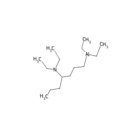 CCCC(CC[CH2][Al]([CH2]C)[CH2]C)N(CC)CC